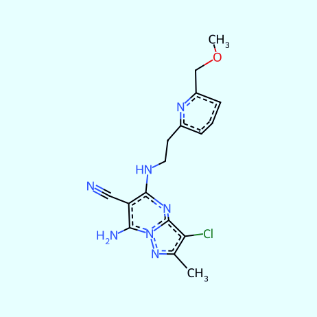 COCc1cccc(CCNc2nc3c(Cl)c(C)nn3c(N)c2C#N)n1